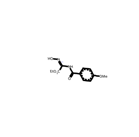 CCOC(=O)/C(=N\O)NC(=O)c1ccc(OC)cc1